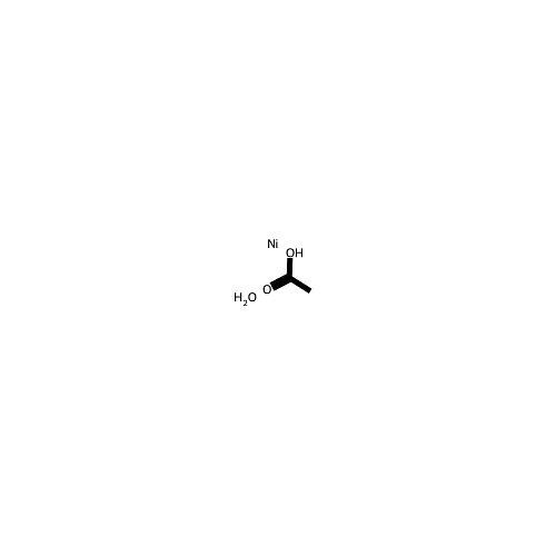 CC(=O)O.O.[Ni]